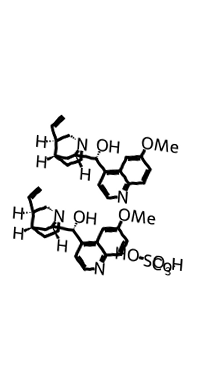 C=C[C@H]1C[N@]2CC[C@H]1C[C@H]2[C@H](O)c1ccnc2ccc(OC)cc12.C=C[C@H]1C[N@]2CC[C@H]1C[C@H]2[C@H](O)c1ccnc2ccc(OC)cc12.O=S(=O)(O)O.[Co]